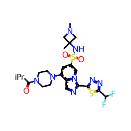 CC(C)C(=O)N1CCN(c2cc(S(=O)(=O)NC3(C)CN(C)C3)cn3c(-c4nnc(C(F)F)s4)ncc23)CC1